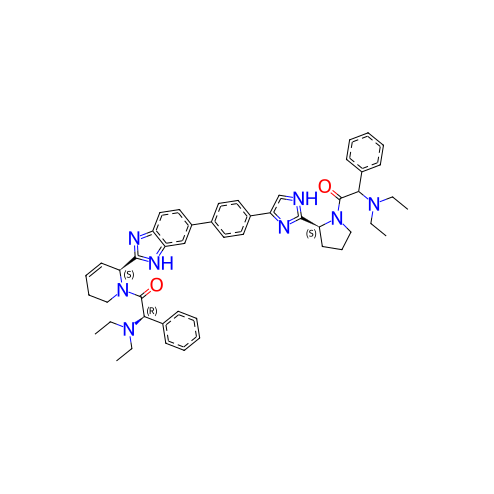 CCN(CC)C(C(=O)N1CCC[C@H]1c1nc(-c2ccc(-c3ccc4nc([C@@H]5C=CCCN5C(=O)[C@@H](c5ccccc5)N(CC)CC)[nH]c4c3)cc2)c[nH]1)c1ccccc1